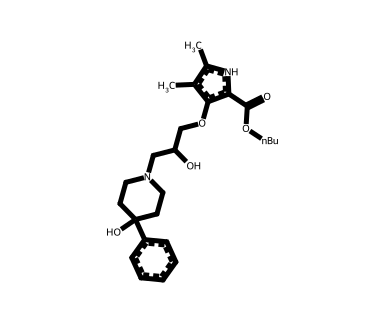 CCCCOC(=O)c1[nH]c(C)c(C)c1OCC(O)CN1CCC(O)(c2ccccc2)CC1